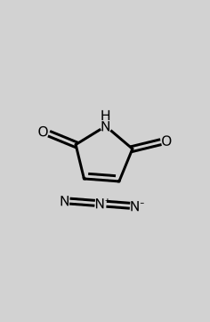 O=C1C=CC(=O)N1.[N-]=[N+]=[N-]